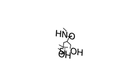 CCNC(=O)C(CCO)CC(C)(C)[Si](C)(C)O